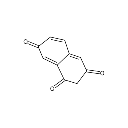 O=C1C=CC2=CC(=O)CC(=O)C2=C1